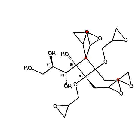 OC[C@@H](O)[C@@H](O)[C@@](O)(CC1CO1)[C@@](CC1CO1)(OCC1CO1)C(CC1CO1)(CC1CO1)OCC1CO1